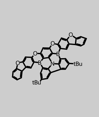 CC(C)(C)c1cc2c3c(c1)c1cc(C(C)(C)C)cc4c1n3-c1c3c(cc5c1B4c1cc4c(cc1O5)oc1ccccc14)Oc1cc4oc5ccccc5c4cc1B32